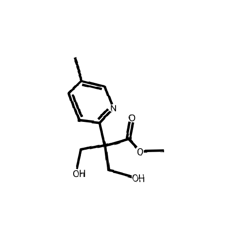 COC(=O)C(CO)(CO)c1ccc(C)cn1